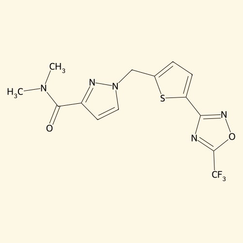 CN(C)C(=O)c1ccn(Cc2ccc(-c3noc(C(F)(F)F)n3)s2)n1